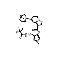 Cn1cc(NC(=O)c2cnn3ccc(N4CCN5CCC4CC5)nc23)c(C(F)(F)F)n1.O=C(O)C(F)(F)F